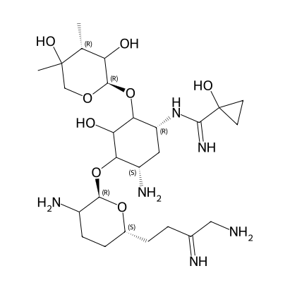 C[C@@H]1C(O)[C@@H](OC2C(O)C(O[C@H]3O[C@H](CCC(=N)CN)CCC3N)[C@@H](N)C[C@H]2NC(=N)C2(O)CC2)OCC1(C)O